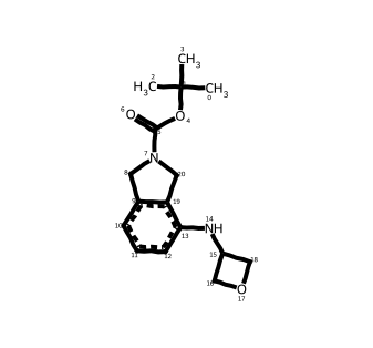 CC(C)(C)OC(=O)N1Cc2cccc(NC3COC3)c2C1